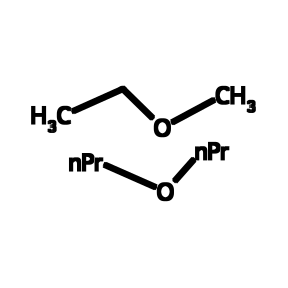 CCCOCCC.CCOC